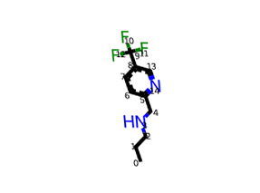 CCCNCc1ccc(C(F)(F)F)cn1